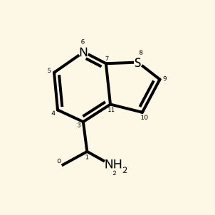 CC(N)c1ccnc2sccc12